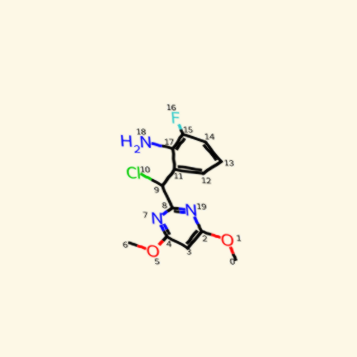 COc1cc(OC)nc(C(Cl)c2cccc(F)c2N)n1